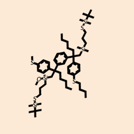 CCCCCC(C[Si](C)(C)CCCS[Si](C)(C)C(C)(C)C)(c1ccc(SCCCC)cc1)c1cccc(C(CCCCC)(C[Si](C)(CCCS[Si](C)(C)C(C)(C)C)OC)c2ccc(SC)cc2)c1